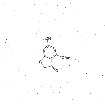 COc1cc(O)cc2c1C(=O)CO2